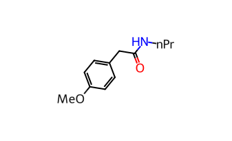 [CH2]CCNC(=O)Cc1ccc(OC)cc1